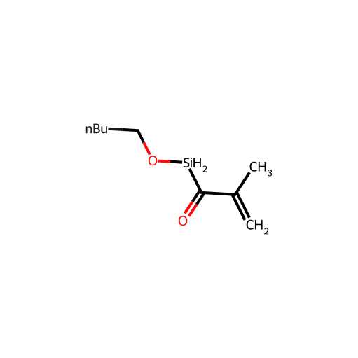 C=C(C)C(=O)[SiH2]OCCCCC